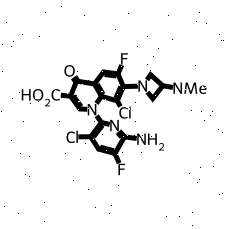 CNC1CN(c2c(F)cc3c(=O)c(C(=O)O)cn(-c4nc(N)c(F)cc4Cl)c3c2Cl)C1